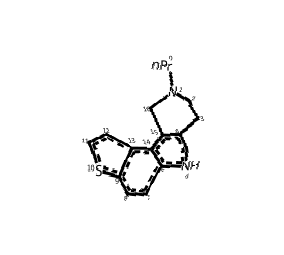 CCCN1CCc2[nH]c3ccc4sccc4c3c2C1